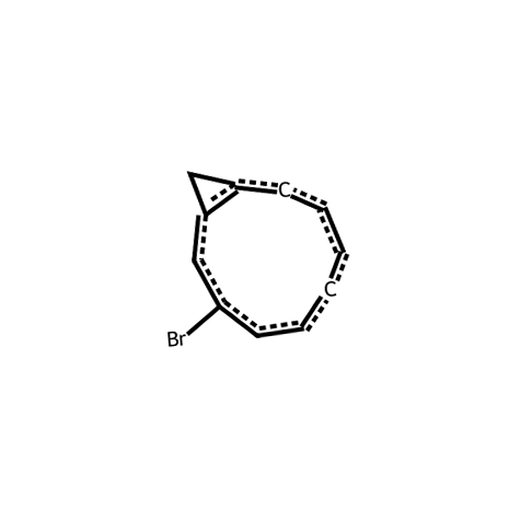 Brc1ccccccc2c(c1)C2